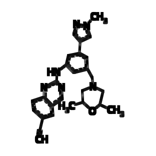 C#Cc1ccc2nc(Nc3cc(CN4CC(C)OC(C)C4)cc(-c4cnn(C)c4)c3)ncc2c1